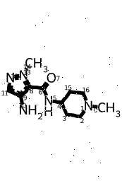 CN1CCC(NC(=O)c2c(N)cnn2C)CC1